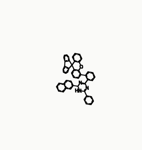 c1ccc(C2=NC(c3ccccc3-c3cccc4c3Oc3ccccc3C43c4ccccc4-c4ccccc43)=NC(c3ccc4ccccc4c3)N2)cc1